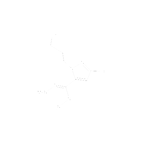 CN/N=C(\NN)c1cc(C)nn1CCCOC(C)=O